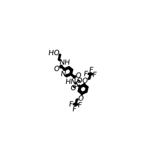 O=C(NS(=O)(=O)c1cc(OCC(F)(F)F)ccc1OCC(F)(F)F)c1ccc(C(=O)NCCO)nc1